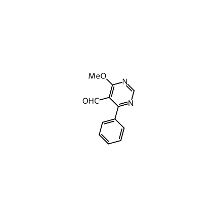 COc1ncnc(-c2ccccc2)c1C=O